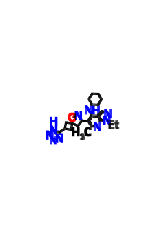 CCn1ncc2c(NC3CCCCC3)c(C3=NOC4(C3)CC(c3nnn[nH]3)C4)c(C)nc21